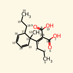 CCCC(=C(C(=O)O)C(=O)O)C1(C)C=CC=CC1CCC